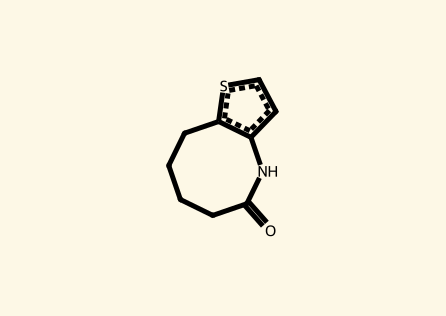 O=C1CCCCc2sccc2N1